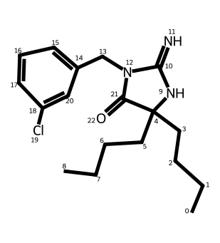 CCCCC1(CCCC)NC(=N)N(Cc2cccc(Cl)c2)C1=O